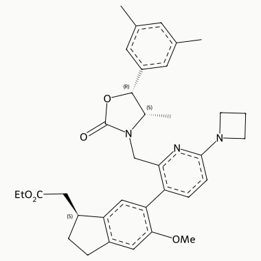 CCOC(=O)C[C@@H]1CCc2cc(OC)c(-c3ccc(N4CCC4)nc3CN3C(=O)O[C@H](c4cc(C)cc(C)c4)[C@@H]3C)cc21